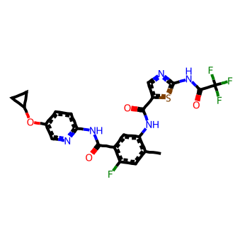 Cc1cc(F)c(C(=O)Nc2ccc(OC3CC3)cn2)cc1NC(=O)c1cnc(NC(=O)C(F)(F)F)s1